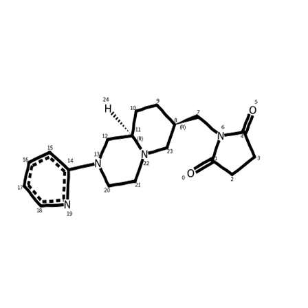 O=C1CCC(=O)N1C[C@@H]1CC[C@@H]2CN(c3ccccn3)CCN2C1